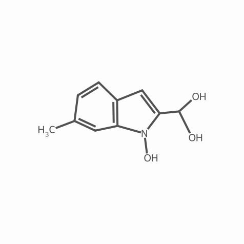 Cc1ccc2cc(C(O)O)n(O)c2c1